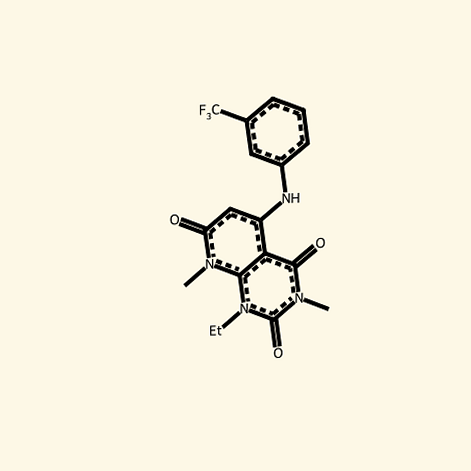 CCn1c(=O)n(C)c(=O)c2c(Nc3cccc(C(F)(F)F)c3)cc(=O)n(C)c21